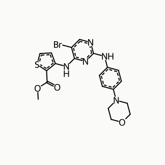 COC(=O)c1sccc1Nc1nc(Nc2ccc(N3CCOCC3)cc2)ncc1Br